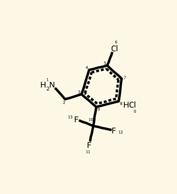 Cl.NCc1cc(Cl)ccc1C(F)(F)F